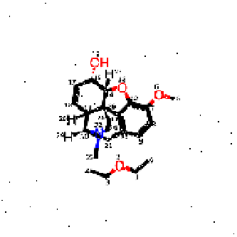 CCOCC.COc1ccc2c3c1O[C@H]1[C@@H](O)C=C[C@H]4[C@@H](C2)N(C)CC[C@@]341